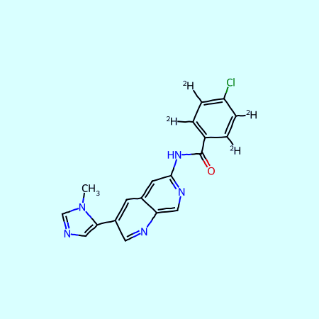 [2H]c1c([2H])c(C(=O)Nc2cc3cc(-c4cncn4C)cnc3cn2)c([2H])c([2H])c1Cl